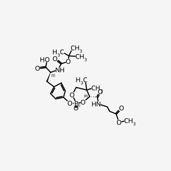 COC(=O)CCNC(=O)[C@@H]1O[P@](=O)(Oc2ccc(C[C@H](NC(=O)OC(C)(C)C)C(=O)O)cc2)OCC1(C)C